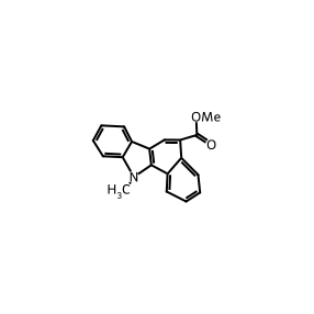 COC(=O)c1cc2c3ccccc3n(C)c2c2ccccc12